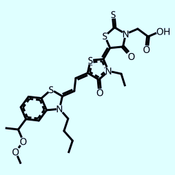 CCCCN1/C(=C/C=c2/s/c(=C3\SC(=S)N(CC(=O)O)C3=O)n(CC)c2=O)Sc2ccc(C(C)OOC)cc21